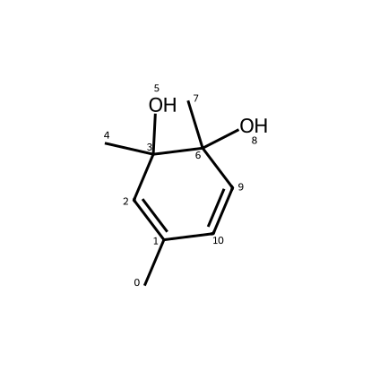 CC1=CC(C)(O)C(C)(O)C=C1